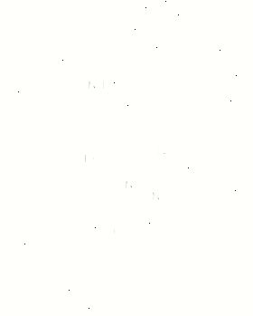 CCON(N)C(C)(CCN)C(C)(C)C